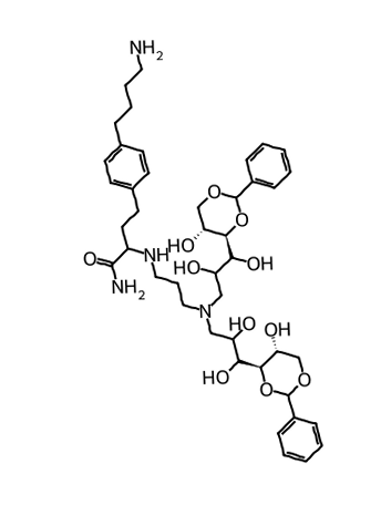 NCCCCc1ccc(CCC(NCCCN(CC(O)C(O)[C@@H]2OC(c3ccccc3)OC[C@H]2O)CC(O)C(O)[C@@H]2OC(c3ccccc3)OC[C@H]2O)C(N)=O)cc1